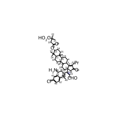 CC(C)C1=C2C3CCC4C(C)(CCC5C(C)(C)C(OC(=O)CC(C)(C)C(=O)O)CCC54C)C3CCC2(/C(=C/C=O)N(CCN)N(C)c2ccc(Cl)cc2)CC1=O